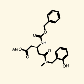 COC(=O)C[C@H](CC(=O)N(C)Cc1ccccc1O)NC(=O)OCc1ccccc1